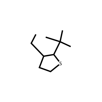 CCC1CCSC1C(C)(C)C